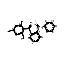 Cc1cc(C)c(C(=O)c2ccccc2[PH](=O)c2ccccc2)c(C)c1